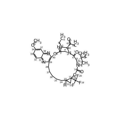 CC[C@@H]1[C@@H]2CN(C(=O)[C@H](C(C)(C)C)NC(=O)O[C@]3(C(F)(F)F)C[C@H]3CCCCCc3nc4ccc(OC)cc4nc3O2)[C@@H]1C(C)=O